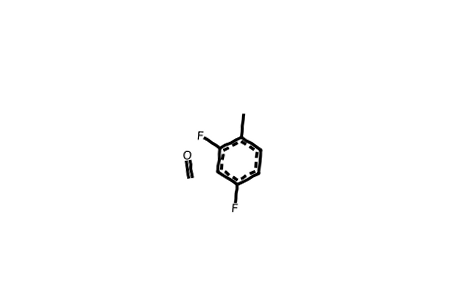 C=O.Cc1ccc(F)cc1F